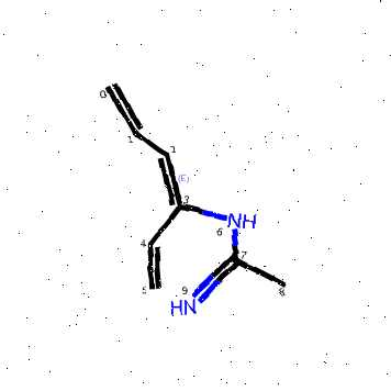 C=C/C=C(\C=C)NC(C)=N